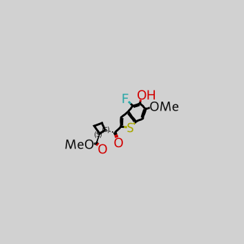 COC(=O)[C@H]1CC[C@@H]1C(=O)c1cc2c(F)c(O)c(OC)cc2s1